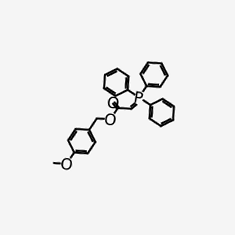 COc1ccc(COC(=O)C=P(c2ccccc2)(c2ccccc2)c2ccccc2)cc1